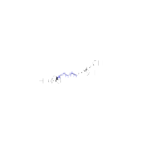 CCCCC[C@H](O)CCC\C=C/C=C\C=C/C=C\C=C\C(=O)OCC